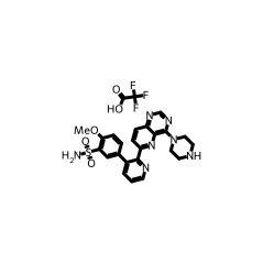 COc1ccc(-c2cccnc2-c2ccc3ncnc(N4CCNCC4)c3n2)cc1S(N)(=O)=O.O=C(O)C(F)(F)F